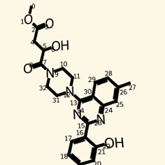 COC(=O)CC(O)C(=O)N1CCN(c2nc(-c3ccccc3O)nc3cc(C)ccc23)CC1